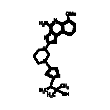 COc1cccc2c1nc(N)n1nc([C@@H]3CCCN(c4cnn(C(C)C(C)(C)O)c4)C3)nc21